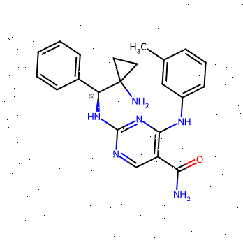 Cc1cccc(Nc2nc(N[C@@H](c3ccccc3)C3(N)CC3)ncc2C(N)=O)c1